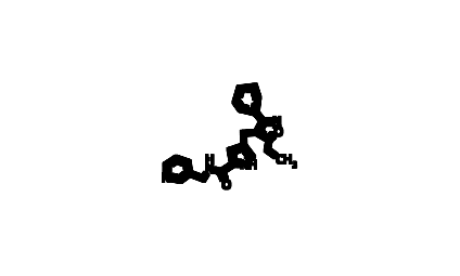 CCc1onc(-c2ccccc2)c1Cc1c[nH]c(C(=O)NCc2cccnc2)c1